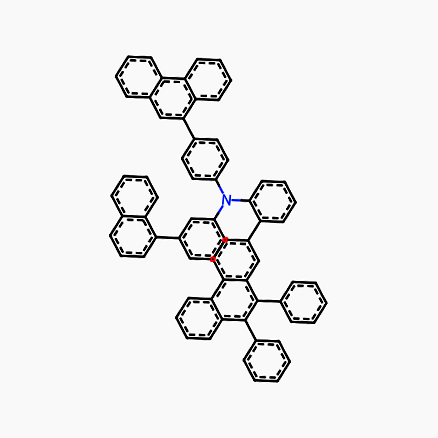 c1ccc(-c2c(-c3ccccc3)c3cc(-c4ccccc4N(c4ccc(-c5cc6ccccc6c6ccccc56)cc4)c4cccc(-c5cccc6ccccc56)c4)ccc3c3ccccc23)cc1